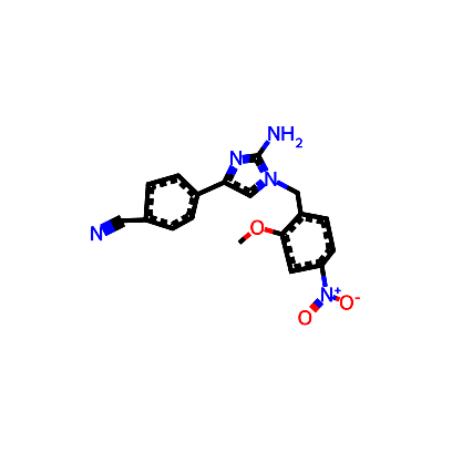 COc1cc([N+](=O)[O-])ccc1Cn1cc(-c2ccc(C#N)cc2)nc1N